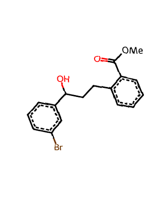 COC(=O)c1ccccc1CCC(O)c1cccc(Br)c1